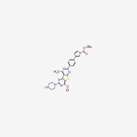 CCOc1nc(N2CCNCC2)nc2c1sc1nc(-c3ccc(-c4ccn(C(=O)OC(C)(C)C)c4)cc3)nc(C)c12